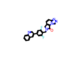 O=C1c2c(ccc3nncn23)CN1Cc1c(F)cc(-c2cnc3ccccc3c2)cc1F